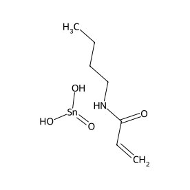 C=CC(=O)NCCCC.[O]=[Sn]([OH])[OH]